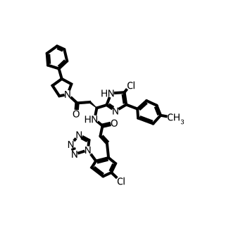 Cc1ccc(-c2nc([C@H](CC(=O)N3CCC(c4ccccc4)C3)NC(=O)/C=C/c3cc(Cl)ccc3-n3cnnn3)[nH]c2Cl)cc1